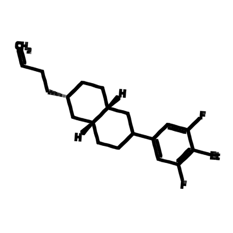 C=CCC[C@@H]1CC[C@@H]2CC(c3cc(F)c(CC)c(F)c3)CC[C@@H]2C1